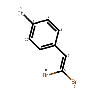 CCc1ccc(C=C(Br)Br)cc1